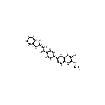 CN(Cc1cccc(-c2ccc(C(=O)NC3Cc4ccccc4C3)cc2)c1)C(=O)CN